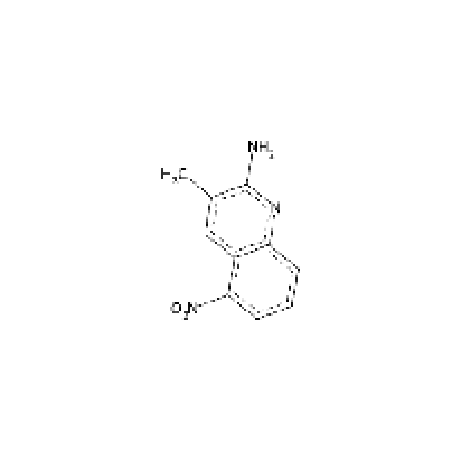 Cc1cc2c([N+](=O)[O-])cccc2nc1N